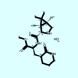 COC(=O)[C@H](C[C@@H]1CCCNC1=O)NC(=O)[C@H]1NC[C@H]2[C@@H]1C2(C)C.Cl